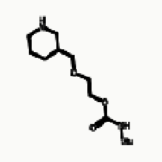 CC(C)(C)NC(=O)OCCOCC1CCCNC1